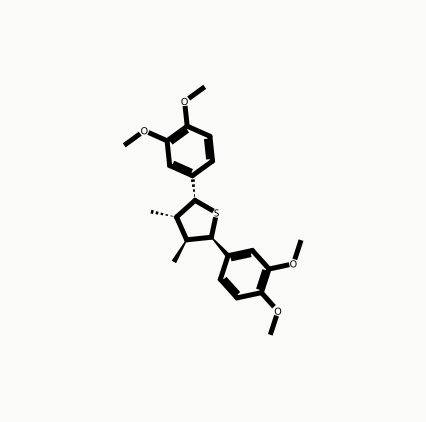 COc1ccc([C@@H]2S[C@@H](c3ccc(OC)c(OC)c3)[C@@H](C)[C@@H]2C)cc1OC